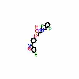 O[C@H](CNCc1c(F)cccc1F)COc1ccc(-c2noc3cc(F)ccc23)cc1